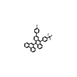 Fc1ccc(-c2ccc3c(-c4cc5ccccc5c5ccccc45)c4ccccc4c(-c4ccc(C(F)(F)F)cc4)c3c2)cc1